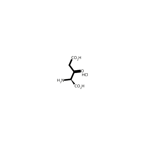 Cl.N[C@H](C(=O)O)C(=O)CC(=O)O